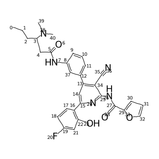 CCCC(CC(=O)Nc1cccc(-c2cc(-c3ccc(F)cc3O)nc(NC(=O)c3ccco3)c2C#N)c1)N(C)C